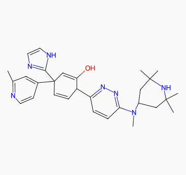 Cc1cc(C2(c3ncc[nH]3)C=CC(c3ccc(N(C)C4CC(C)(C)NC(C)(C)C4)nn3)C(O)=C2)ccn1